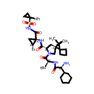 CCCC1(S(=O)(=O)NC(=O)[C@@]2(NC(=O)[C@@H]3C[C@@]4(CN3C(=O)[C@@H](NC(=O)[C@@H](N)C3CCCCC3)C(C)(C)C)C(C)(C)C43CCC3)C[C@H]2CC)CC1